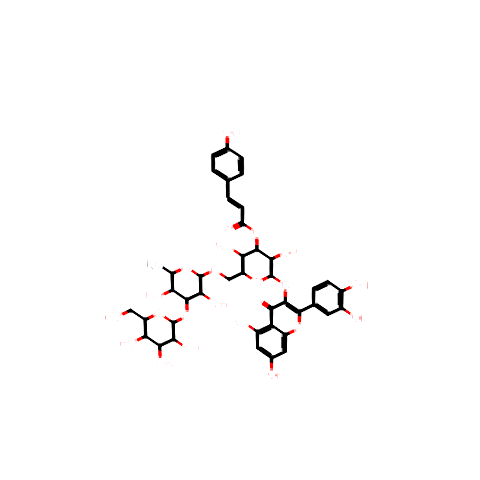 CC1OC(OCC2OC(Oc3c(-c4ccc(O)c(O)c4)oc4cc(O)cc(O)c4c3=O)C(O)C(OC(=O)/C=C/c3ccc(O)cc3)C2O)C(O)C(OC2OC(CO)C(O)C(O)C2O)C1O